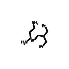 CC(C)CB(CC(C)C)CC(C)C.NCCCN